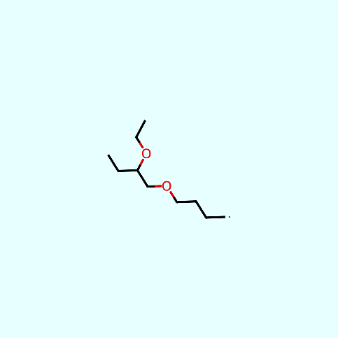 [CH2]CCCOCC(CC)OCC